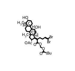 CC(=O)O[C@H]1C[C@@]2(C)[C@@H](C[C@@H](O)[C@H]3[C@@]4(C)CC[C@@H](O)[C@@H](C)[C@@H]4CC[C@@]32C)/C1=C(\CCC=C(Br)Br)C(=O)OCOC(=O)C(C)(C)C